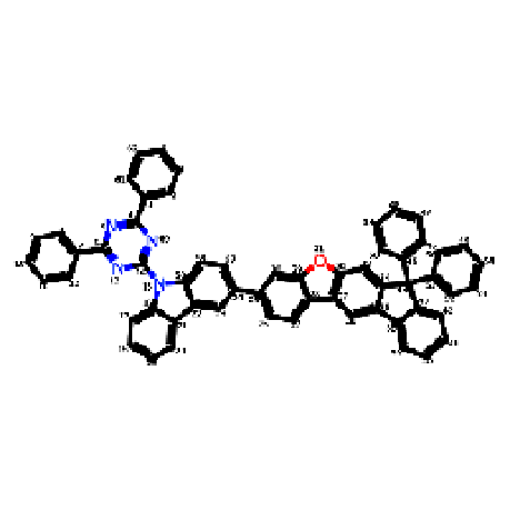 c1ccc(-c2nc(-c3ccccc3)nc(-n3c4ccccc4c4cc(-c5ccc6c(c5)oc5cc7c(cc56)-c5ccccc5C7(c5ccccc5)c5ccccc5)ccc43)n2)cc1